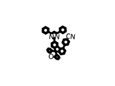 N#Cc1ccc(-c2cccc3c2-c2cc(-c4nc(-c5ccccc5)cc(-c5ccccc5)n4)ccc2C32c3ccccc3Oc3ccccc32)cc1